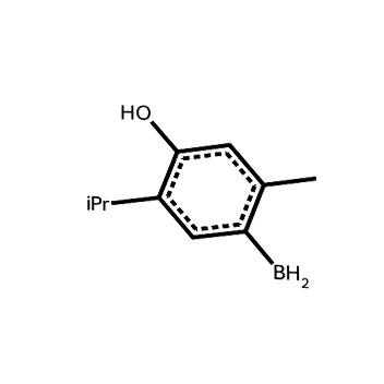 Bc1cc(C(C)C)c(O)cc1C